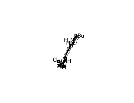 Cc1sc2c(c1C)C(c1ccc(Cl)cc1)=N[C@@H](CC(=O)Nc1ccc(OCCOCCOCCOCCNC(=O)[C@H](N)CCC(=O)OC(C)(C)C)cc1)c1nnc(C)n1-2